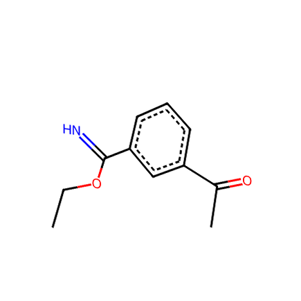 CCOC(=N)c1cccc(C(C)=O)c1